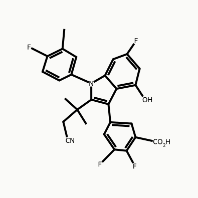 Cc1cc(-n2c(C(C)(C)CC#N)c(-c3cc(F)c(F)c(C(=O)O)c3)c3c(O)cc(F)cc32)ccc1F